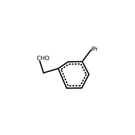 CC(C)c1cccc(CC=O)c1